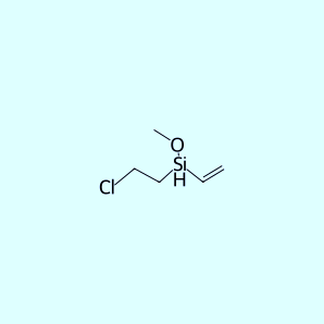 C=C[SiH](CCCl)OC